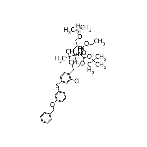 CCOC(=O)C(CO[SiH](C)C)CC(CCCc1ccc(Sc2cccc(OCc3ccccc3)c2)cc1Cl)(NC(=O)OC(C)(C)C)C(C)(C)C